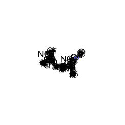 C=C(F)C(=O)N1CCN(c2nc(OC[C@@H]3CC(c4ccc(C5Cc6nc(OC[C@@H]7CCCN7C)nc(N7CCN(C(=O)/C=C/CN8CCOCC8)[C@@H](CC#N)C7)c6CO5)c5c(C)cccc45)CN3C)nc3c2COC(c2ccccc2Cl)C3)C[C@@H]1CC#N